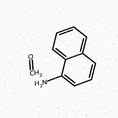 C=O.Nc1cccc2ccccc12